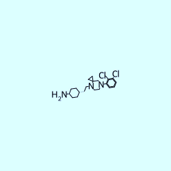 N[C@H]1CC[C@H](CCN2CCN(c3cccc(Cl)c3Cl)CC23CC3)CC1